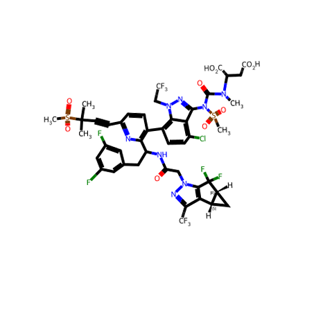 CN(C(=O)N(c1nn(CC(F)(F)F)c2c(-c3ccc(C#CC(C)(C)S(C)(=O)=O)nc3C(Cc3cc(F)cc(F)c3)NC(=O)Cn3nc(C(F)(F)F)c4c3C(F)(F)[C@@H]3C[C@H]43)ccc(Cl)c12)S(C)(=O)=O)C(CC(=O)O)C(=O)O